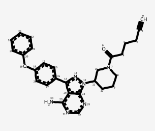 C#CCCCC(=O)N1CCCC(n2nc(-c3ccc(Oc4ccccc4)cc3)c3c(N)ncnc32)C1